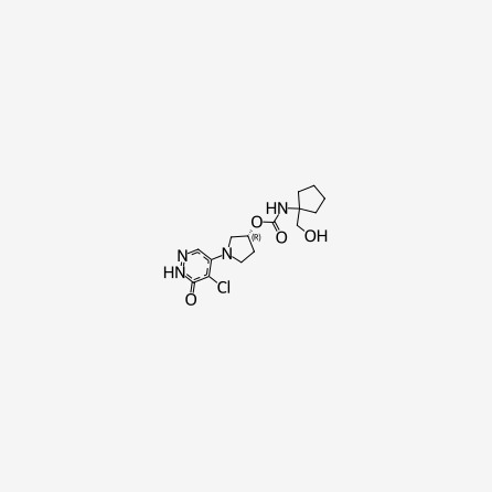 O=C(NC1(CO)CCCC1)O[C@@H]1CCN(c2cn[nH]c(=O)c2Cl)C1